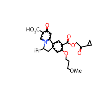 COCCCOc1cc2c(cc1C(=O)OCC(=O)C1CC1)-c1cc(=O)c(C(=O)O)cn1C(C(C)C)C2